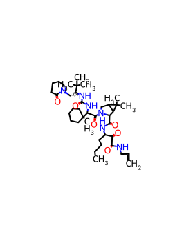 C=CCNC(=O)C(=O)C(CCCC)NC(=O)C1C2C(CN1C(=O)C(NC(=O)N[C@H](CN1CCCCC1=O)C(C)(C)C)C1(C)CCCCC1)C2(C)C